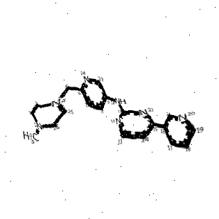 CN1CCN(Cc2ccc(Nc3nccc(-c4cccnc4)n3)cn2)CC1